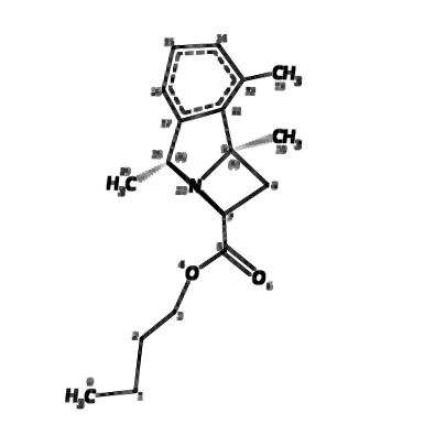 CCCCOC(=O)C12C[C@]3(C)c4c(C)cccc4[C@@]1(C)N23